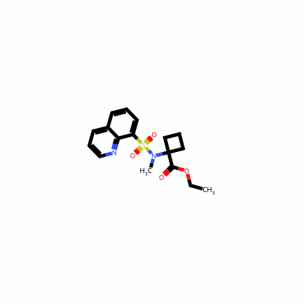 CCOC(=O)C1(N(C)S(=O)(=O)c2cccc3cccnc23)CCC1